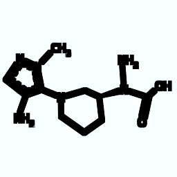 Cn1ncc(N)c1N1CCC[C@H](N(N)C(=O)O)C1